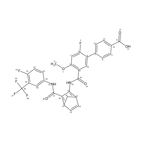 COc1cc(F)c(-c2ccc(C(=O)O)cc2)cc1C(=O)NC1=C2C=CC(=C1C(=O)Nc1ccc(F)c(C(F)(F)F)c1)C2